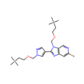 C[Si](C)(C)CCOCn1cc(-c2nc3cc(Br)ncc3n2COCC[Si](C)(C)C)cn1